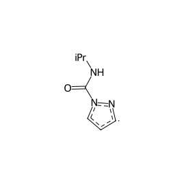 CC(C)NC(=O)n1cc[c]n1